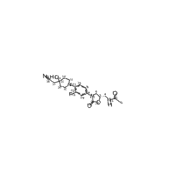 CC(=O)NC[C@H]1CN(c2ccc(N3CCC(O)(CC#N)CC3)c(F)c2)C(=O)O1